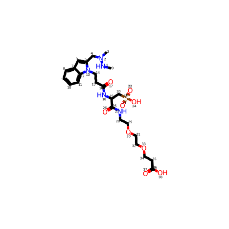 CNN(C)Cc1cc2ccccc2n1CCC(=O)NC(CS(=O)(=O)O)C(=O)NCCOCCOCCC(=O)O